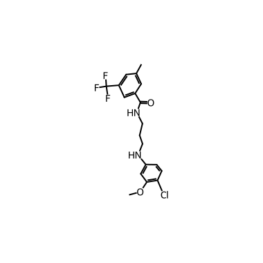 COc1cc(NCCCNC(=O)c2cc(C)cc(C(F)(F)F)c2)ccc1Cl